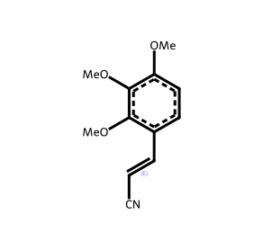 COc1ccc(/C=C/C#N)c(OC)c1OC